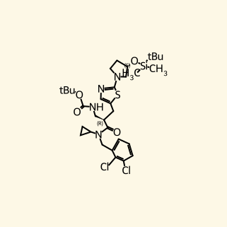 CC(C)(C)OC(=O)NC[C@@H](Cc1cnc(N2CC[C@H](O[Si](C)(C)C(C)(C)C)C2)s1)C(=O)N(Cc1cccc(Cl)c1Cl)C1CC1